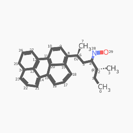 CC[C@@H](C)C(C[C@H](C)c1ccc2c3c4c(c5cccc1c25)=CC=CC4CC=C3)N=O